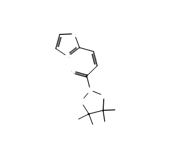 CC1(C)OB(C(=N)/C=C\c2ncc[nH]2)OC1(C)C